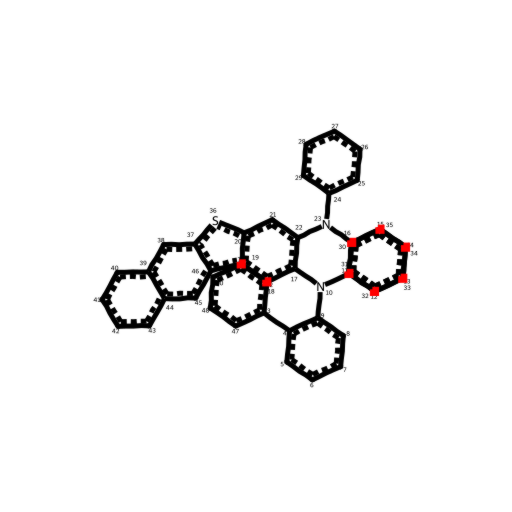 c1ccc(-c2ccccc2N(c2ccccc2)c2cc3c(cc2N(c2ccccc2)c2ccccc2)sc2cc4ccccc4cc23)cc1